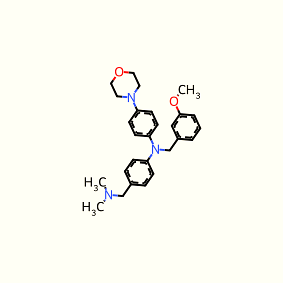 COc1cccc(CN(c2ccc(CN(C)C)cc2)c2ccc(N3CCOCC3)cc2)c1